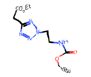 CCOC(=O)Cc1nnn(CCNC(=O)OC(C)(C)C)n1